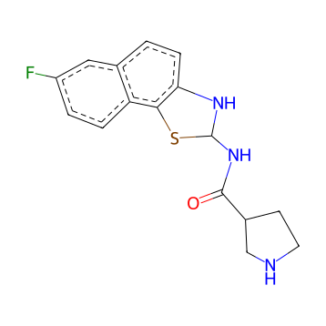 O=C(NC1Nc2ccc3cc(F)ccc3c2S1)C1CCNC1